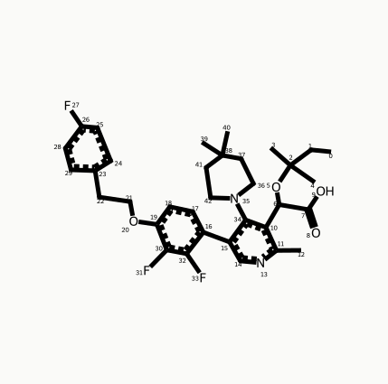 CCC(C)(C)OC(C(=O)O)c1c(C)ncc(-c2ccc(OCCc3ccc(F)cc3)c(F)c2F)c1N1CCC(C)(C)CC1